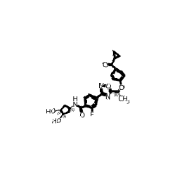 C[C@@H](Oc1ccc(C(=O)C2CC2)cc1)c1nc(-c2ccc(C(=O)N[C@@H]3C[C@@H](O)[C@@H](O)C3)c(F)c2)no1